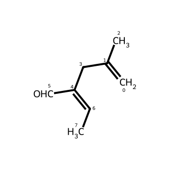 C=C(C)C/C(C=O)=C/C